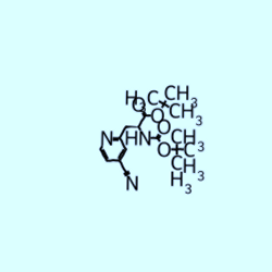 CC(C)(C)OC(=O)N[C@@H](Cc1cc(C#N)ccn1)C(=O)OC(C)(C)C